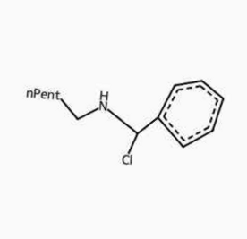 CCCCCCNC(Cl)c1ccccc1